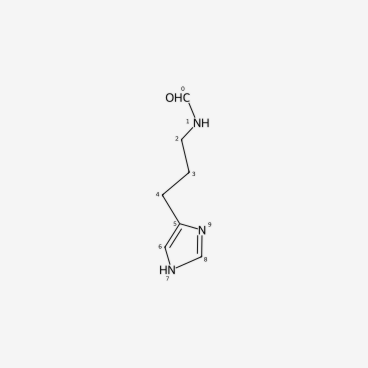 O=CNCCCc1c[nH]cn1